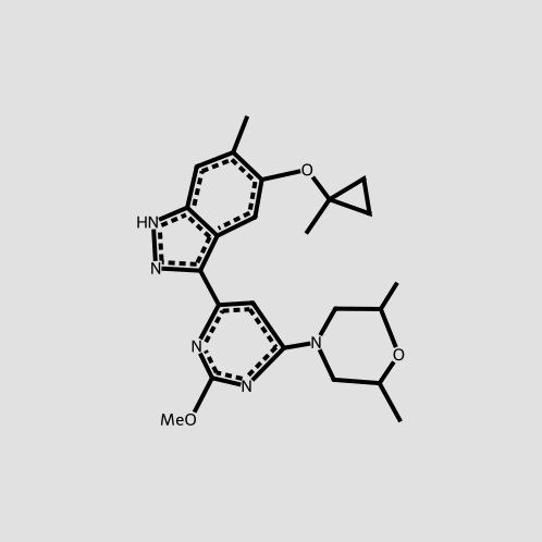 COc1nc(-c2n[nH]c3cc(C)c(OC4(C)CC4)cc23)cc(N2CC(C)OC(C)C2)n1